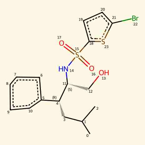 CC(C)C[C@H](c1ccccc1)[C@@H](CO)NS(=O)(=O)c1ccc(Br)s1